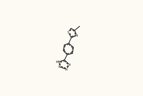 Cc1csc(-c2ccc(-c3nnn[nH]3)cc2)n1